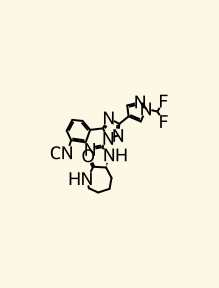 N#Cc1cccc2c1nc(N[C@@H]1CCCCNC1=O)n1nc(-c3cnn(C(F)F)c3)nc21